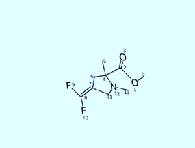 COC(=O)C1(C)CC(=C(F)F)CN1C